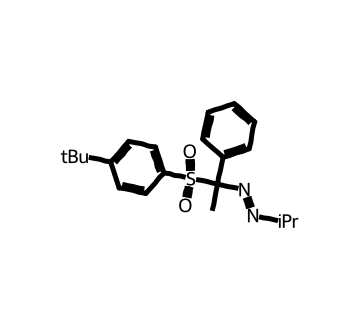 CC(C)N=NC(C)(c1ccccc1)S(=O)(=O)c1ccc(C(C)(C)C)cc1